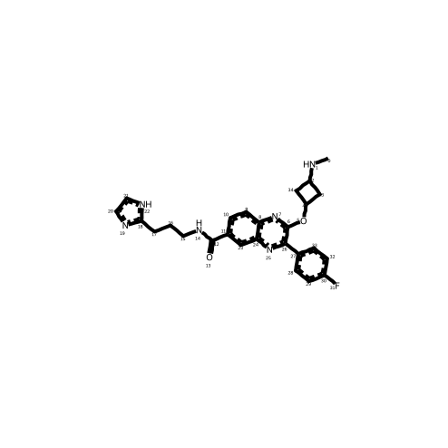 CNC1CC(Oc2nc3ccc(C(=O)NCCCc4ncc[nH]4)cc3nc2-c2ccc(F)cc2)C1